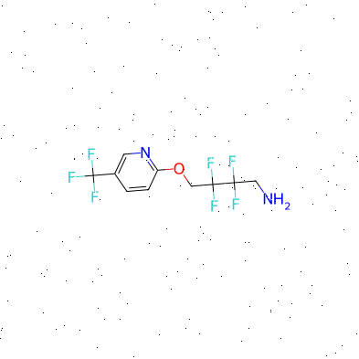 NCC(F)(F)C(F)(F)COc1ccc(C(F)(F)F)cn1